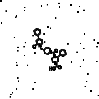 O=C(O)N1CCN(C(=O)N2CCC(Cn3ccc(-c4ccccc4)cc3=O)CC2)C(c2ccccc2)C1